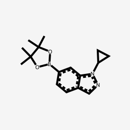 CC1(C)OB(c2ccc3cnn(C4CC4)c3c2)OC1(C)C